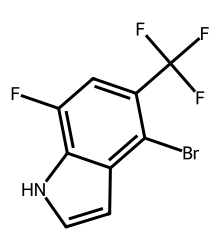 Fc1cc(C(F)(F)F)c(Br)c2cc[nH]c12